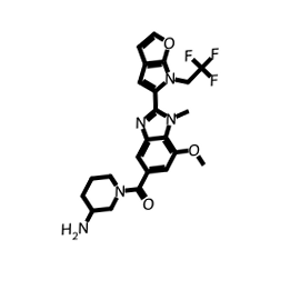 COc1cc(C(=O)N2CCCC(N)C2)cc2nc(-c3cc4ccoc4n3CC(F)(F)F)n(C)c12